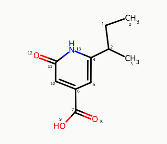 CCC(C)c1cc(C(=O)O)cc(=O)[nH]1